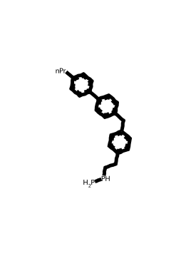 CCCc1ccc(-c2ccc(Cc3ccc(CCPP)cc3)cc2)cc1